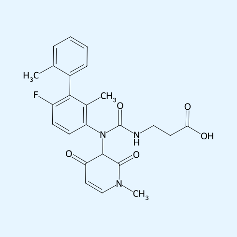 Cc1ccccc1-c1c(F)ccc(N(C(=O)NCCC(=O)O)C2C(=O)C=CN(C)C2=O)c1C